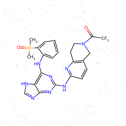 CP(C)(=O)c1ccccc1Nc1nc(Nc2ccc3c(n2)CCN(C(=O)C(F)(F)F)C3)nc2nc[nH]c12